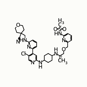 C[C@@H](COCc1cccc(NS(C)(=O)=O)n1)NC1CCC(Nc2cc(-c3cccc(NCC4(C#N)CCOCC4)n3)c(Cl)cn2)CC1